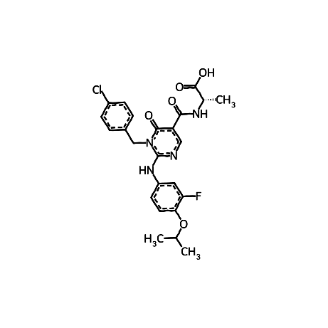 CC(C)Oc1ccc(Nc2ncc(C(=O)N[C@@H](C)C(=O)O)c(=O)n2Cc2ccc(Cl)cc2)cc1F